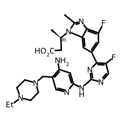 CCN1CCN(Cc2cnc(Nc3ncc(F)c(-c4cc(F)c5nc(C)n([C@H](C)CC(=O)O)c5c4)n3)cc2N)CC1